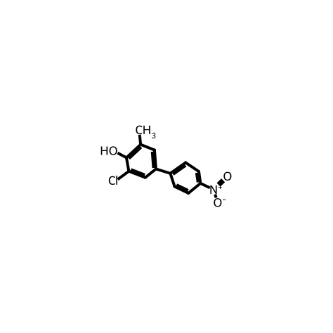 Cc1cc(-c2ccc([N+](=O)[O-])cc2)cc(Cl)c1O